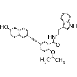 CC(C)Oc1ccc(C#Cc2ccc3cc(O)ccc3c2)cc1C(=O)NCCc1c[nH]c2ccccc12